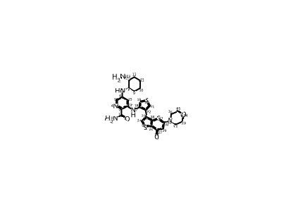 NC(=O)c1ncc(N[C@H]2CCCC[C@H]2N)cc1Nc1cscc1-c1csc2c(=O)cc(N3CCOCC3)sc12